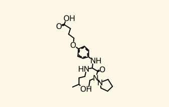 CCN(C(=O)C(NCCC(C)O)Nc1ccc(OCCCC(=O)O)cc1)N1CCCC1